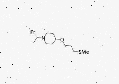 CSCCCOC1CCN([C@H](C)C(C)C)CC1